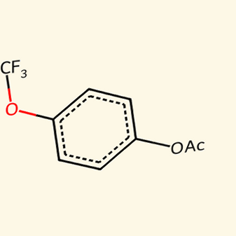 CC(=O)Oc1ccc(OC(F)(F)F)cc1